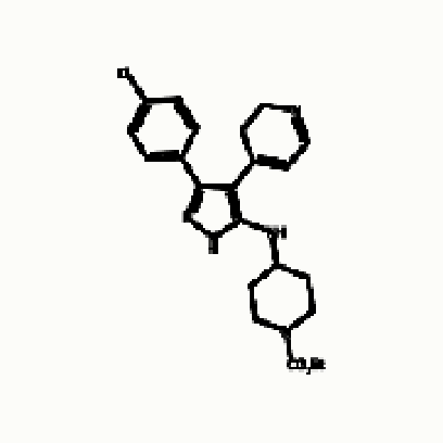 CCOC(=O)N1CCC(Nc2[nH]nc(-c3ccc(Cl)cc3)c2C2=CC=NCC2)CC1